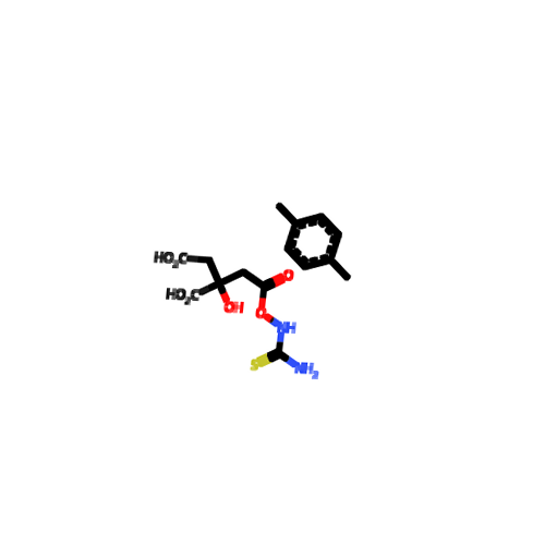 Cc1ccc(C)cc1.NC(=S)NOC(=O)CC(O)(CC(=O)O)C(=O)O